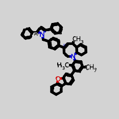 Cc1cc(-c2ccc3c4c(oc3c2)C=CCC4)c(C)c(N2CC/C(c3ccc(CN4C(c5ccccc5)=C[C@@H]4c4ccccc4)cc3)=C\C(C)C3C=CCCC32)c1